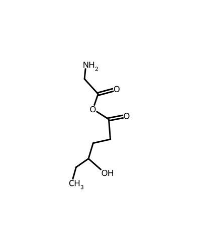 CCC(O)CCC(=O)OC(=O)CN